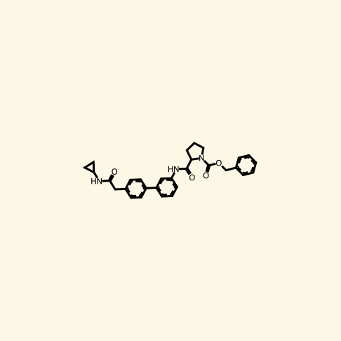 O=C(Cc1ccc(-c2cccc(NC(=O)C3CCCN3C(=O)OCc3ccccc3)c2)cc1)NC1CC1